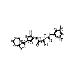 CCC(NC(=O)Cc1cc(F)cc(F)c1)C(=O)Nc1cc(-c2nnc3n2CCCC3)n[nH]1